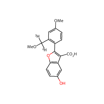 [2H]C([2H])(OC)c1cc(OC)ccc1-c1oc2ccc(O)cc2c1C(=O)O